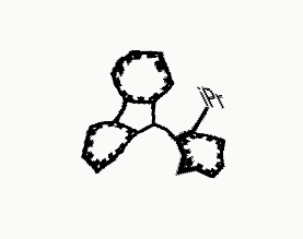 CC(C)c1ccccc1C1c2ccccc2-c2ccccc21